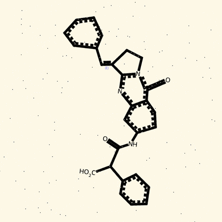 O=C(O)C(C(=O)Nc1ccc2c(=O)n3c(nc2c1)/C(=C/c1ccccc1)CC3)c1ccccc1